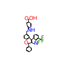 O=C(O)c1ccc(NCc2cccc(-c3c(C(=O)c4ccccc4)cnc4c(C(F)(F)F)cccc34)c2)cc1